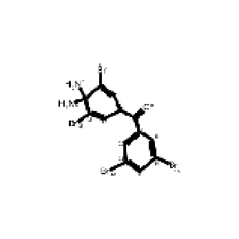 NC1(N)C(Br)=CC(C(=O)c2cc(Br)cc(Br)c2)C=C1Br